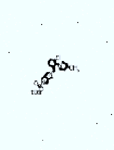 CC1CCN(c2c(Cl)cccc2CN2CC3CN(C(=O)OC(C)(C)C)CC3C2)CC1